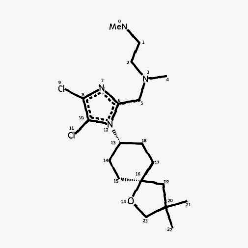 CNCCN(C)Cc1nc(Cl)c(Cl)n1[C@H]1CC[C@]2(CC1)CC(C)(C)CO2